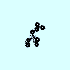 c1ccc(-n2c3ccccc3c3cc(-c4cccc(-c5nc(-c6ccc7sc8ccccc8c7c6)nc(-c6cccc7c6oc6ccccc67)n5)c4)ccc32)cc1